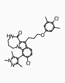 Cc1cc(OCCCc2c3n(c4c(-c5c(C)nn(C)c5C)c(Cl)ccc24)CCCNC3=O)cc(C)c1Cl